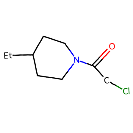 CCC1CCN(C(=O)CCl)CC1